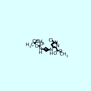 COC(=O)c1nnc(Cl)cc1NC12CC(NC(=O)OC(C)(C)C)(C1)C2